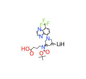 C[C@H]1C[C@@H](N(CCCC(=O)O)C(=O)OC(C)(C)C)CN(c2ccc(C(F)(F)F)c3nccnc23)C1.[LiH]